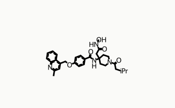 Cc1cc(COc2ccc(C(=O)NC3(CC(=O)NO)CCN(C(=O)CC(C)C)CC3)cc2)c2ccccc2n1